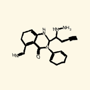 C#CCC(NN)C1NC2=CCCC(C=N)=C2C(=O)N1C1=CCCC=C1